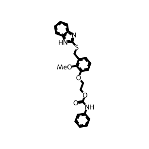 COc1c(CSc2nc3ccccc3[nH]2)cccc1OCCOC(=O)Nc1ccccc1